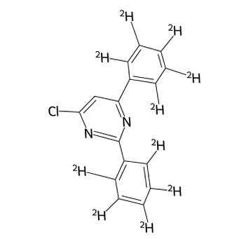 [2H]c1c([2H])c([2H])c(-c2cc(Cl)nc(-c3c([2H])c([2H])c([2H])c([2H])c3[2H])n2)c([2H])c1[2H]